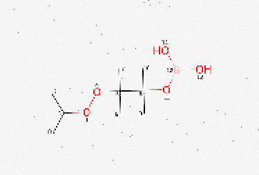 CC(C)OOC(C)(C)C(C)(C)OB(O)O